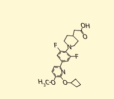 COc1ccc(-c2cc(F)c(N3CCC(CC(=O)O)CC3)c(F)c2)nc1OC1CCC1